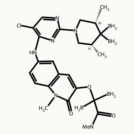 BC(B)(Oc1cc2cc(Nc3nc(N4C[C@@H](C)C(B)(B)[C@@H](C)C4)ncc3Cl)ccc2n(C)c1=O)C(=O)NC